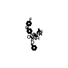 Cc1cn(CC(=O)N[C@@H](COCc2ccccc2)C(=O)Nc2ccc(Oc3ccc(F)cc3)cc2)nn1